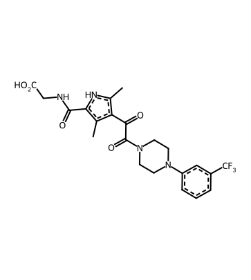 Cc1[nH]c(C(=O)NCC(=O)O)c(C)c1C(=O)C(=O)N1CCN(c2cccc(C(F)(F)F)c2)CC1